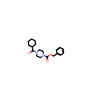 O=C(OCc1ccccc1)N1CCN(C(=O)C2CCCCC2)CC1